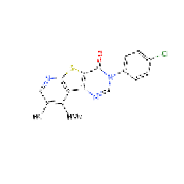 CNc1c(C#N)cnc2sc3c(=O)n(-c4ccc(Cl)cc4)cnc3c12